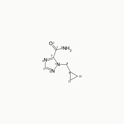 NC(=O)c1ncnn1CC1CC1